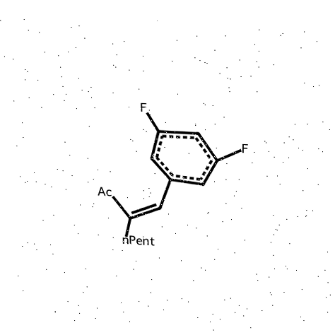 CCCCCC(=Cc1cc(F)cc(F)c1)C(C)=O